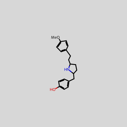 COc1ccc(CCC2CCC(Cc3ccc(O)cc3)N2)cc1